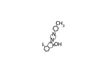 Cc1ccc(N2CCN([C@H]3Cc4c(I)cccc4C[C@@H]3O)CC2)cc1